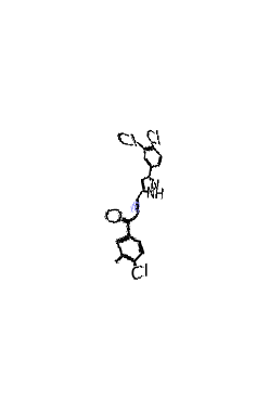 Cc1cc(C(=O)/C=C/c2cc(-c3ccc(Cl)c(Cl)c3)n[nH]2)ccc1Cl